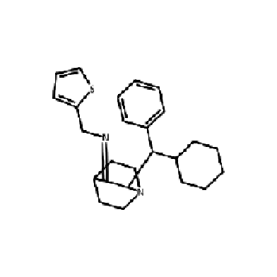 c1ccc(C(C2CCCCC2)C2C(=NCc3cccs3)C3CCN2CC3)cc1